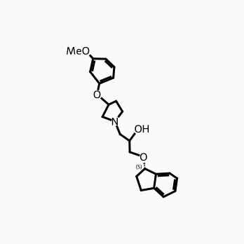 COc1cccc(OC2CCN(CC(O)CO[C@H]3CCc4ccccc43)C2)c1